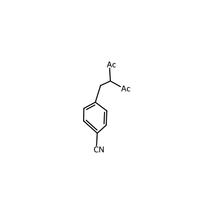 CC(=O)C(Cc1ccc(C#N)cc1)C(C)=O